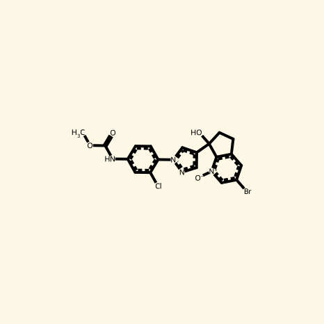 COC(=O)Nc1ccc(-n2cc(C3(O)CCc4cc(Br)c[n+]([O-])c43)cn2)c(Cl)c1